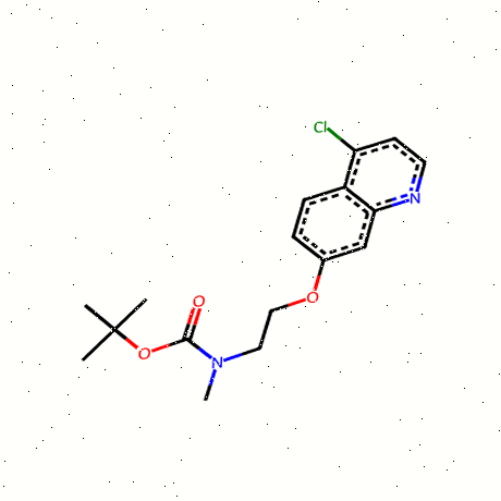 CN(CCOc1ccc2c(Cl)ccnc2c1)C(=O)OC(C)(C)C